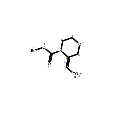 CC(C)(C)OC(=O)N1CCOC/C1=C\C(=O)O